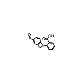 O=Cc1ccc2c(c1)CN2c1ccccc1C(=O)O